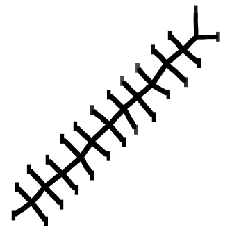 IC(I)C(I)(I)C(I)(I)C(I)(I)C(I)(I)C(I)(I)C(I)(I)C(I)(I)C(I)(I)C(I)(I)C(I)(I)C(I)(I)I